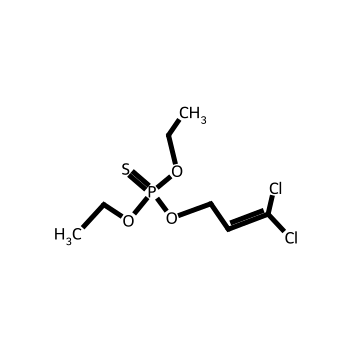 CCOP(=S)(OCC)OCC=C(Cl)Cl